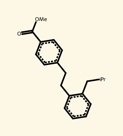 COC(=O)c1ccc(CCc2ccccc2CC(C)C)cc1